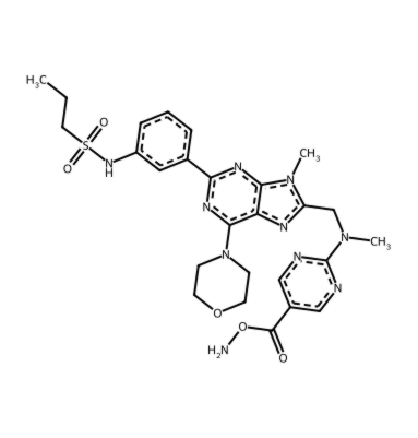 CCCS(=O)(=O)Nc1cccc(-c2nc(N3CCOCC3)c3nc(CN(C)c4ncc(C(=O)ON)cn4)n(C)c3n2)c1